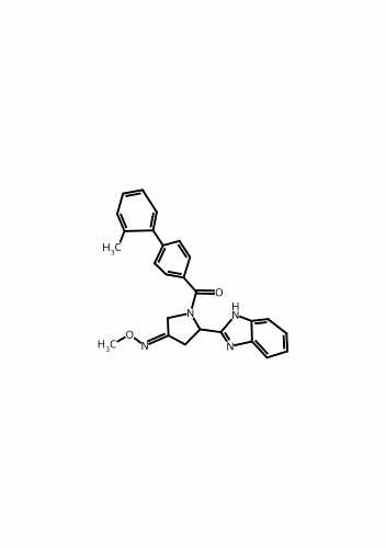 CON=C1CC(c2nc3ccccc3[nH]2)N(C(=O)c2ccc(-c3ccccc3C)cc2)C1